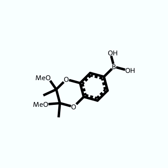 COC1(C)Oc2ccc(B(O)O)cc2OC1(C)OC